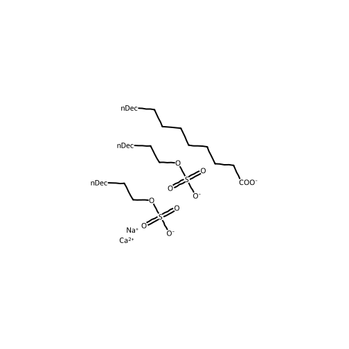 CCCCCCCCCCCCCCCCCC(=O)[O-].CCCCCCCCCCCCOS(=O)(=O)[O-].CCCCCCCCCCCCOS(=O)(=O)[O-].[Ca+2].[Na+]